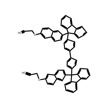 C#CCOc1ccc2cc(C3(c4ccc(-c5ccc(C6(c7ccc8cc(OCC#C)ccc8c7)c7ccccc7-c7ccccc76)cc5)cc4)c4ccccc4-c4ccccc43)ccc2c1